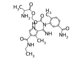 CCNC(=O)c1c[nH]c(C(=N)N(C(=O)OCOC(=O)C(C)N)c2cc(C(N)=O)ccc2C)c1C